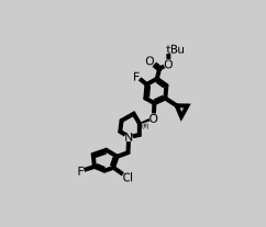 CC(C)(C)OC(=O)c1cc(C2CC2)c(O[C@@H]2CCCN(Cc3ccc(F)cc3Cl)C2)cc1F